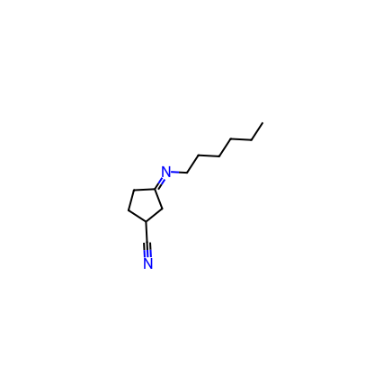 CCCCCCN=C1CCC(C#N)C1